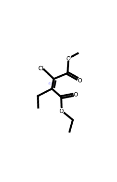 CCOC(=O)/C(CC)=C(/Cl)C(=O)OC